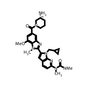 CNC(=O)N(C)c1ccc2cc(-c3nc4cc(C(=O)N5CCC[C@@H](N)C5)cc(OC)c4n3C)n(CC3CC3)c2n1